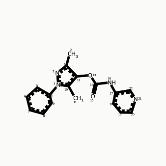 Cc1nn(-c2ccccc2)c(C)c1OC(=O)Nc1cccnc1